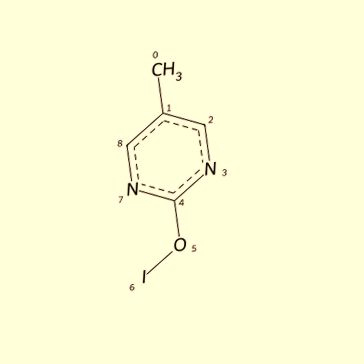 Cc1cnc(OI)nc1